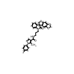 Cc1c(C(=O)NCCCN2C(=O)C3(COc4cc5c(cc43)OCO5)c3ccccc32)cnn1-c1ccc(F)cc1